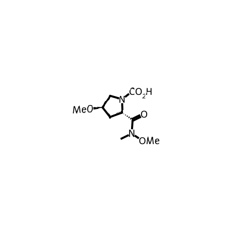 CO[C@@H]1C[C@@H](C(=O)N(C)OC)N(C(=O)O)C1